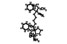 CC(C)C(C#N)(CCCCC(=O)[N@@+]1([C@H](C)c2ccccc2)CCCC1C(N)=O)c1ccccc1